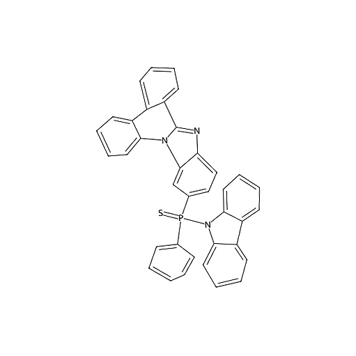 S=P(c1ccccc1)(c1ccc2nc3c4ccccc4c4ccccc4n3c2c1)n1c2ccccc2c2ccccc21